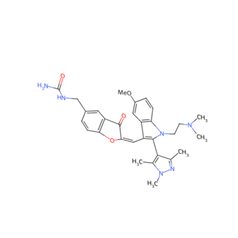 COc1ccc2c(c1)c(C=C1Oc3ccc(CNC(N)=O)cc3C1=O)c(-c1c(C)nn(C)c1C)n2CCN(C)C